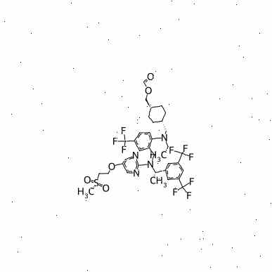 CCN(C[C@H]1CC[C@H](COC=O)CC1)c1ccc(C(F)(F)F)cc1CN(c1ncc(OCCS(C)(=O)=O)cn1)[C@@H](C)c1cc(C(F)(F)F)cc(C(F)(F)F)c1